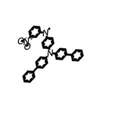 CN(c1ccc(N(c2ccc(-c3ccccc3)cc2)c2ccc(-c3ccccc3)cc2)cc1)c1cccc([N+](=O)[O-])c1